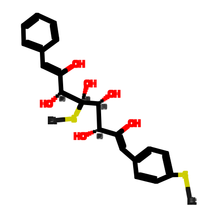 CCSc1ccc(C=C(O)[C@H](O)[C@@H](O)[C@@](O)(SCC)[C@H](O)C(O)=Cc2ccccc2)cc1